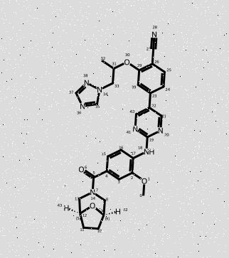 COc1cc(C(=O)N2C[C@H]3CC[C@@H](C2)O3)ccc1Nc1ncc(-c2ccc(C#N)c(OC(C)Cn3cncn3)c2)cn1